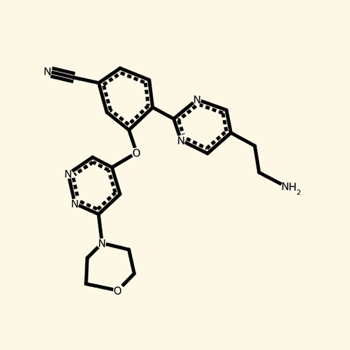 N#Cc1ccc(-c2ncc(CCN)cn2)c(Oc2cnnc(N3CCOCC3)c2)c1